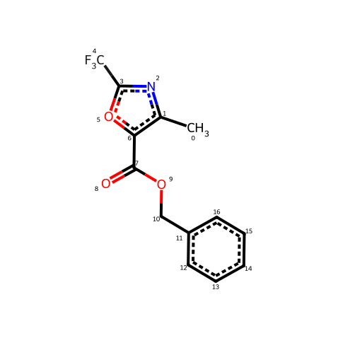 Cc1nc(C(F)(F)F)oc1C(=O)OCc1ccccc1